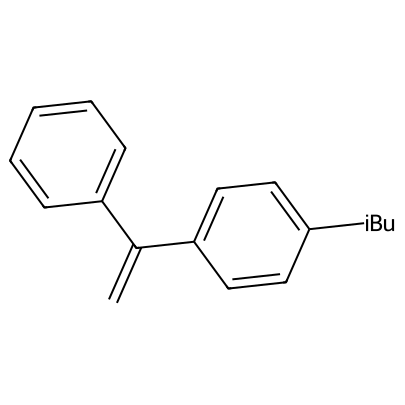 C=C(c1ccccc1)c1ccc(C(C)CC)cc1